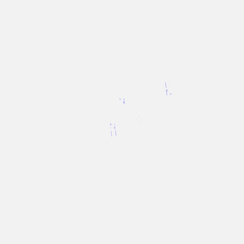 Cc1cccc(Nc2ncc(-c3cc4ccccc4[nH]3)o2)c1